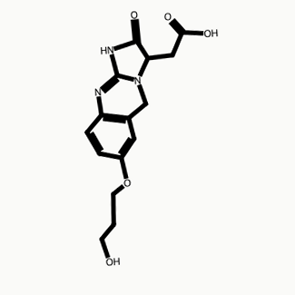 O=C(O)CC1C(=O)NC2=Nc3ccc(OCCCO)cc3CN21